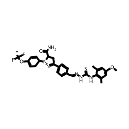 COc1cc(C)c(NC(=S)N/N=C/c2ccc(C3=NN(C4C=CC(OC(F)(F)F)=CC4)C(C(N)=O)C3)cc2)c(C)c1